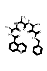 CC(C)[C@H](NC(=O)[C@H](C)NC(=O)[C@@H](NC(=O)c1cccc2ncccc12)C(C)(C)C)C(=O)C(=O)NCc1ccccc1